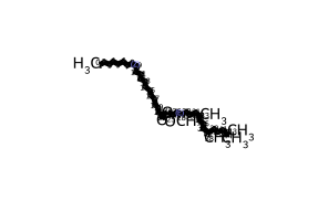 CCCCCCCC/C=C\CCCCCCCCCCCC(=O)OC(=O)/C=C(\C)CCC[C@H](C)CCC[C@H](C)CCCC(C)C